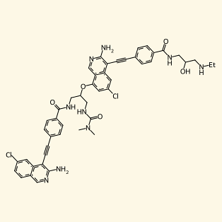 CCNCC(O)CNC(=O)c1ccc(C#Cc2c(N)ncc3c(OC(CNC(=O)c4ccc(C#Cc5c(N)ncc6ccc(Cl)cc56)cc4)CNC(=O)N(C)C)cc(Cl)cc23)cc1